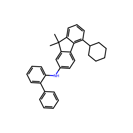 CC1(C)c2cc(Nc3ccccc3-c3ccccc3)ccc2-c2c(C3CCCCC3)cccc21